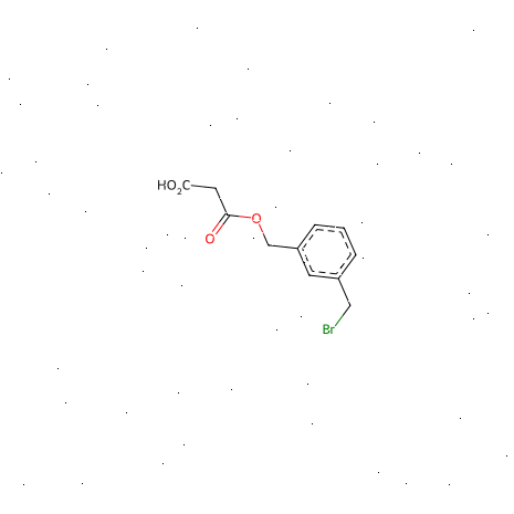 O=C(O)CC(=O)OCc1cccc(CBr)c1